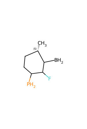 BC1C(F)C(P)CC[C@@H]1C